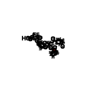 O=C1C2CC3CC1CC(C(=O)CCC1(COC(=O)C45CC6CC(C4)C(=O)C(C6)C5)COC4(OC1)C1CC5CC4CC(OC(=O)C(F)(F)SOOO)(C5)C1)(C3)C2